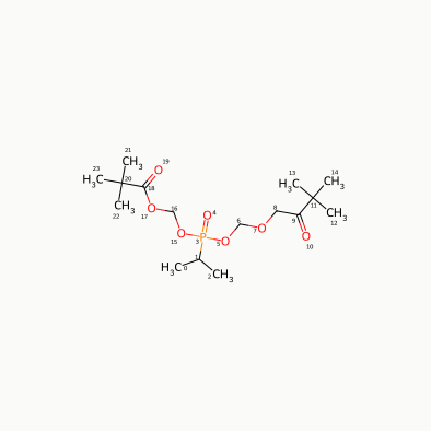 CC(C)P(=O)(OCOCC(=O)C(C)(C)C)OCOC(=O)C(C)(C)C